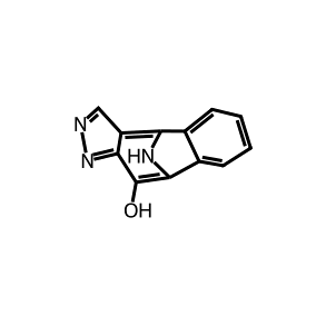 Oc1c2nncc-2c2[nH]c1c1ccccc21